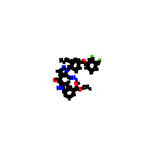 COC(=O)c1cccc2[nH]c(C(=O)c3cnn(-c4ccc(Oc5cccc(F)c5F)cc4C)c3N)cc12